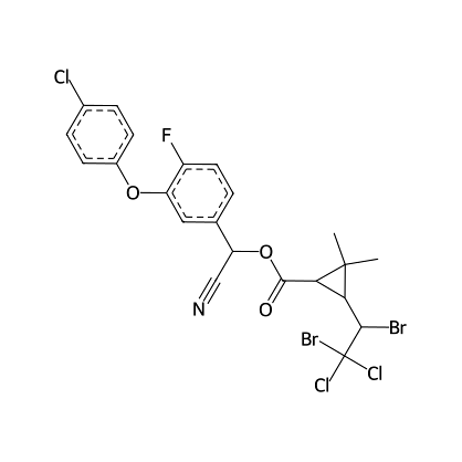 CC1(C)C(C(=O)OC(C#N)c2ccc(F)c(Oc3ccc(Cl)cc3)c2)C1C(Br)C(Cl)(Cl)Br